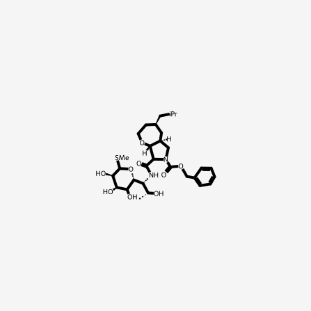 CSC1O[C@H]([C@H](NC(=O)C2[C@@H]3OCC[C@@H](CC(C)C)C[C@H]3CN2C(=O)OCc2ccccc2)[C@@H](C)O)C(O)[C@@H](O)[C@H]1O